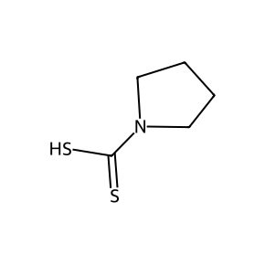 S=C(S)N1CCCC1